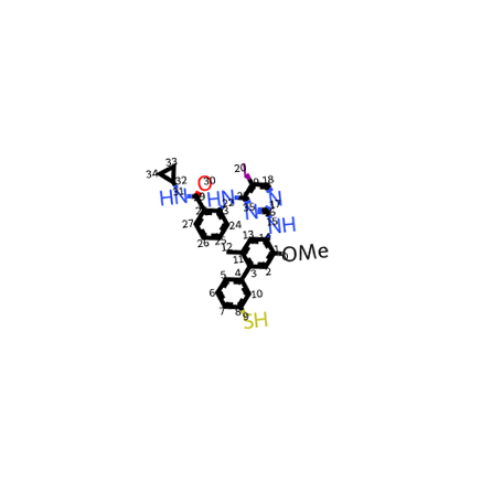 COc1cc(-c2cccc(S)c2)c(C)cc1Nc1ncc(I)c(Nc2ccccc2C(=O)NC2CC2)n1